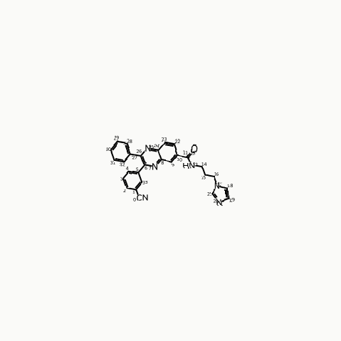 N#Cc1cccc(-c2nc3cc(C(=O)NCCCn4ccnc4)ccc3nc2-c2ccccc2)c1